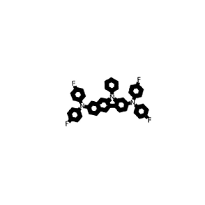 Fc1ccc(N(c2ccc(F)cc2)c2ccc3cc4c5ccc(N(c6ccc(F)cc6)c6ccc(F)cc6)cc5n(-c5ccccc5)c4cc3c2)cc1